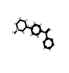 C=C(c1ccccc1)c1ccc(C2CCCN(C)C2)cc1